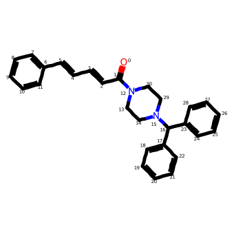 O=C(/C=C/C=C/c1ccccc1)N1CCN(C(c2ccccc2)c2ccccc2)CC1